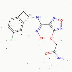 NC(=O)COc1nonc1C(=NO)N[C@H]1Cc2ccc(F)cc21